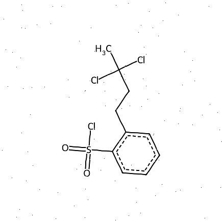 CC(Cl)(Cl)CCc1ccccc1S(=O)(=O)Cl